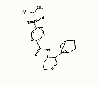 CN(C)S(=O)(=O)c1ccc(C(=O)NC2CCC=CC2N2CC3CCC2C3)cc1